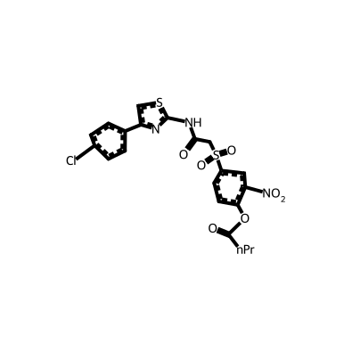 CCCC(=O)Oc1ccc(S(=O)(=O)CC(=O)Nc2nc(-c3ccc(Cl)cc3)cs2)cc1[N+](=O)[O-]